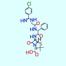 CC1(C)S[C@@H]2[C@H](NC(=O)C(NC(=O)CNC(=N)c3ccc(Cl)cc3)c3ccccc3)C(=O)N2[C@H]1C(=O)O